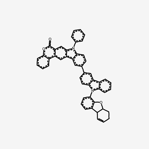 O=c1oc2ccccc2c2cc3c4cc(-c5ccc6c(c5)c5ccccc5n6-c5cccc6c5OC5CCC=CC65)ccc4n(-c4ccccc4)c3cc12